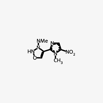 CNN1NOC=C1c1ncc([N+](=O)[O-])n1C